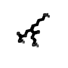 CCCCC=C(COC(C)=O)C(=O)OCC